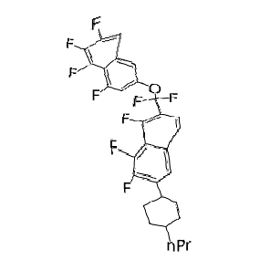 CCCC1CCC(c2cc3ccc(C(F)(F)Oc4cc(F)c5c(F)c(F)c(F)cc5c4)c(F)c3c(F)c2F)CC1